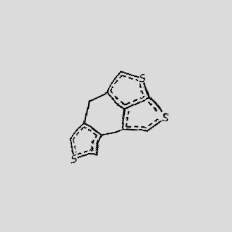 c1scc2c1Cc1csc3scc-2c13